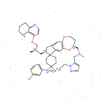 C[C@@H](COc1ccnc2c1[C@H](C)CCC2)C[C@H]1Cc2cc3c(cc2C12CCC(Nc1cccc(Cl)c1)(C(=O)O)CC2)O[C@H](CN(C)Cc1ccnn1CC(F)(F)F)CCO3